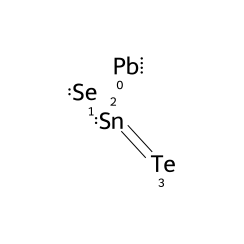 [Pb].[Se].[Sn]=[Te]